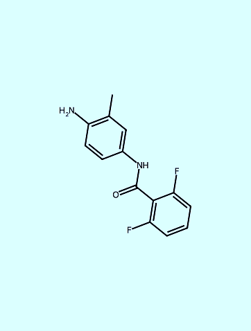 Cc1cc(NC(=O)c2c(F)cccc2F)ccc1N